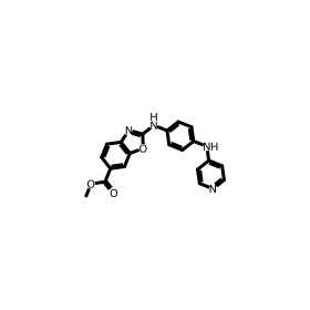 COC(=O)c1ccc2nc(Nc3ccc(Nc4ccncc4)cc3)oc2c1